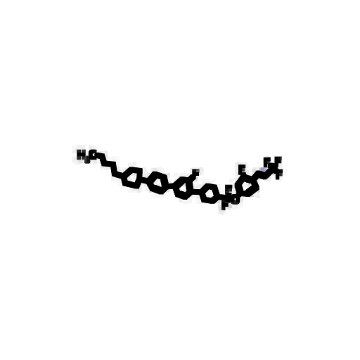 CCCCCC1CCC(c2ccc(-c3ccc(C4CCC(C(F)(F)Oc5ccc(/C=C/C(F)(F)F)c(F)c5)CC4)c(F)c3)cc2)CC1